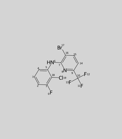 Fc1cccc(Nc2nc(C(F)(F)F)ccc2Br)c1Cl